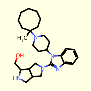 CC1(N2CCC(n3c(N4CC5CNC(CO)C5C4)nc4ccccc43)CC2)CCCCCCC1